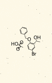 CC(O)c1cc(Br)ccc1OCc1ccccc1.CS(=O)(=O)O